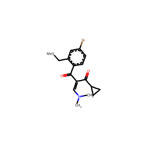 CSCc1cc(Br)ccc1C(=O)C(=CN(C)C)C(=O)C1CC1